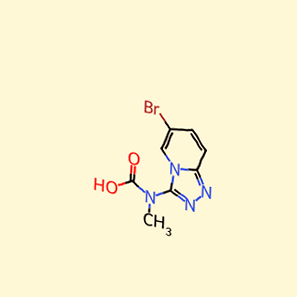 CN(C(=O)O)c1nnc2ccc(Br)cn12